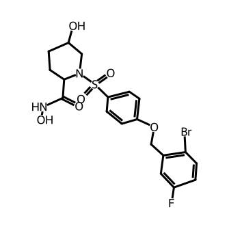 O=C(NO)C1CCC(O)CN1S(=O)(=O)c1ccc(OCc2cc(F)ccc2Br)cc1